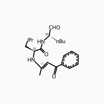 CCCC[C@@H](C=O)NC(=O)[C@H](CC(C)C)N/C(C)=C/C(=O)c1ccccc1